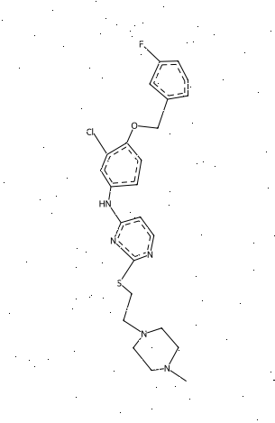 CN1CCN(CCSc2nccc(Nc3ccc(OCc4cccc(F)c4)c(Cl)c3)n2)CC1